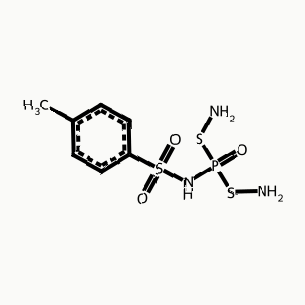 Cc1ccc(S(=O)(=O)NP(=O)(SN)SN)cc1